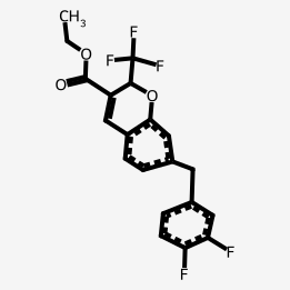 CCOC(=O)C1=Cc2ccc(Cc3ccc(F)c(F)c3)cc2OC1C(F)(F)F